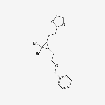 BrC1(Br)C(CCOCc2ccccc2)C1CCC1OCCO1